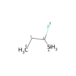 CCC(F)[SiH3]